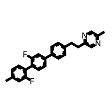 Cc1ccc(-c2ccc(-c3ccc(CCc4cnc(C)cn4)cc3)cc2F)c(F)c1